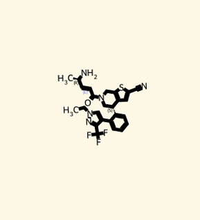 CCn1cc(-c2ccccc2[C@@H]2CN(C(=O)/C=C/[C@@H](C)N)Cc3sc(C#N)cc32)c(C(F)(F)F)n1